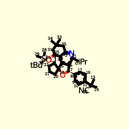 CC(C)c1nc2c(c3c1[C@H](c1ccc(C(C)(C)C#N)cc1)OC31CCCC1I)C(O[Si](C)(C)C(C)(C)C)CC(C)(C)C2